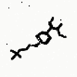 CCN(C)C(=NC)c1ccc(OCCC[Si](C)(C)C)cc1